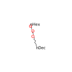 CCCCCCCCCCCCCCCCOCCOCCOCCCCCC